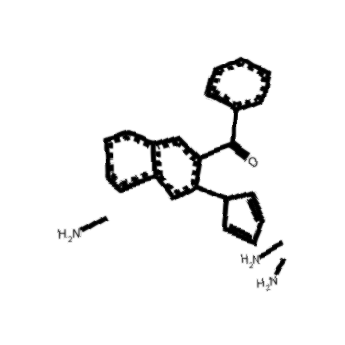 CN.CN.CN.O=C(c1ccccc1)c1cc2ccccc2cc1C1C=CC=C1